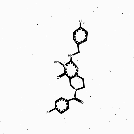 CCCn1c(NCc2ccc(C(F)(F)F)cc2)nc2c(c1=O)CN(C(=O)c1ccc(F)cc1)CC2